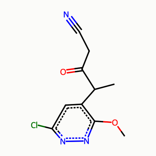 COc1nnc(Cl)cc1C(C)C(=O)CC#N